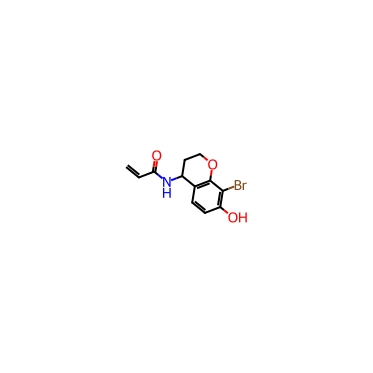 C=CC(=O)NC1CCOc2c1ccc(O)c2Br